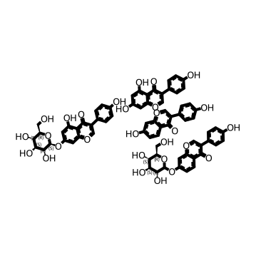 O=c1c(-c2ccc(O)cc2)coc2cc(O)cc(O)c12.O=c1c(-c2ccc(O)cc2)coc2cc(O)ccc12.O=c1c(-c2ccc(O)cc2)coc2cc(OC3O[C@H](CO)[C@@H](O)[C@H](O)[C@H]3O)ccc12.O=c1c(-c2ccc(O)cc2)coc2cc(O[C@@H]3O[C@H](CO)[C@@H](O)[C@H](O)[C@H]3O)cc(O)c12